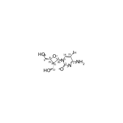 Nc1nc(=O)n([C@@H]2O[C@H](CO)[C@H]2CO)cc1I